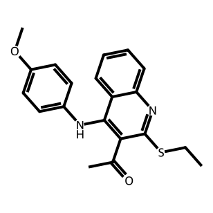 CCSc1nc2ccccc2c(Nc2ccc(OC)cc2)c1C(C)=O